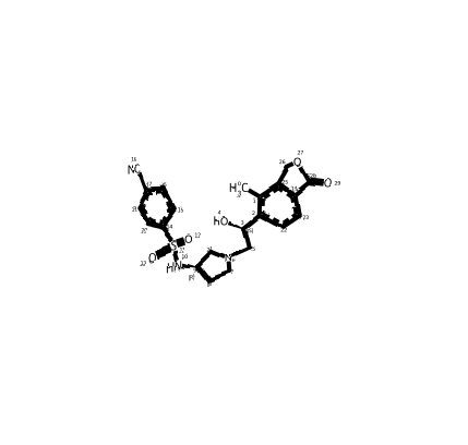 Cc1c([C@H](O)CN2CC[C@@H](NS(=O)(=O)c3ccc(C#N)cc3)C2)ccc2c1COC2=O